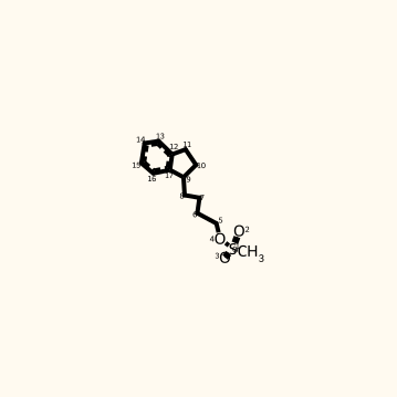 CS(=O)(=O)OCCCCC1CCc2ccccc21